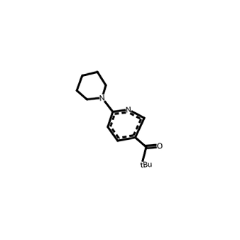 CC(C)(C)C(=O)c1ccc(N2CCCCC2)nc1